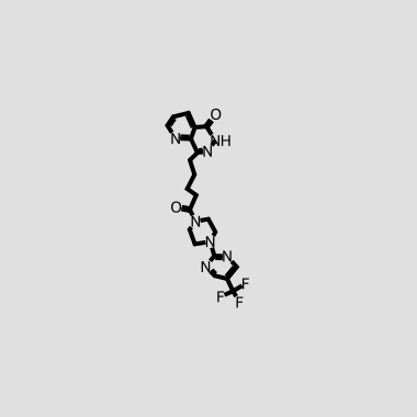 O=C(CCCCc1n[nH]c(=O)c2cccnc12)N1CCN(c2ncc(C(F)(F)F)cn2)CC1